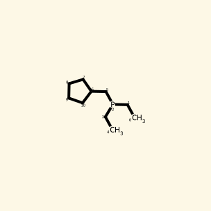 CCP(CC)CC1CCCC1